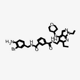 CCc1nc2c(cnn2CC)c(NC2CCOCC2)c1CNC(=O)c1cccc(C(=O)NCc2ccc(N)c(Br)c2)c1